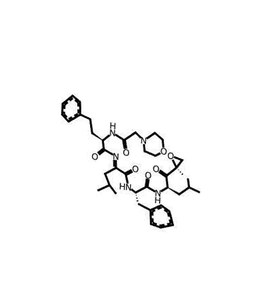 CC(C)C/C(=N\C(=O)[C@@H](CCc1ccccc1)NC(=O)CN1CCOCC1)C(=O)N[C@@H](Cc1ccccc1)C(=O)N[C@H](CC(C)C)C(=O)[C@]1(C)CO1